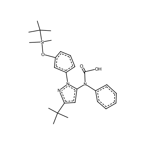 CC(C)(C)c1cc(N(C(=O)O)c2ccccc2)n(-c2cccc(O[Si](C)(C)C(C)(C)C)c2)n1